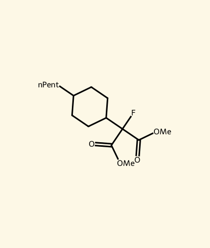 CCCCCC1CCC(C(F)(C(=O)OC)C(=O)OC)CC1